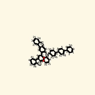 c1ccc(-c2ccc(-c3ccc(N(c4ccccc4)c4cc5sc6ccccc6c5cc4-c4ccc5oc6ccccc6c5c4)cc3)cc2)cc1